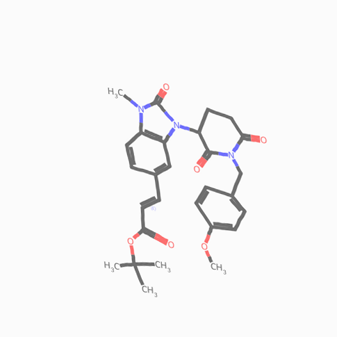 COc1ccc(CN2C(=O)CCC(n3c(=O)n(C)c4ccc(/C=C/C(=O)OC(C)(C)C)cc43)C2=O)cc1